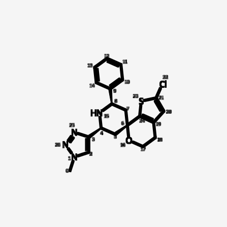 Cn1cc([C@@H]2C[C@]3(C[C@H](c4ccccc4)N2)OCCc2cc(Cl)sc23)nn1